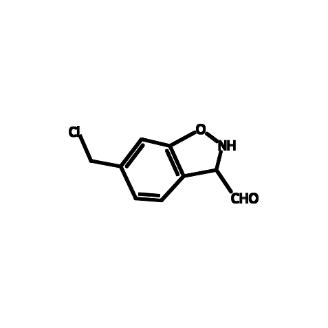 O=CC1NOc2cc(CCl)ccc21